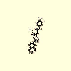 N[C@H](CNc1nnc(-c2ccc3cncnc3c2)s1)Cc1ccc(C(F)(F)F)cc1